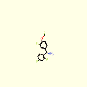 NC(c1ccc(OCF)c(F)c1)c1ccc(F)cc1F